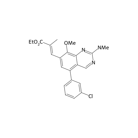 CCOC(=O)C(C)=Cc1cc(-c2cccc(Cl)c2)c2cnc(NC)nc2c1OC